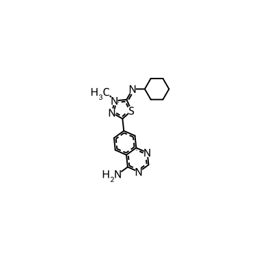 Cn1nc(-c2ccc3c(N)ncnc3c2)sc1=NC1CCCCC1